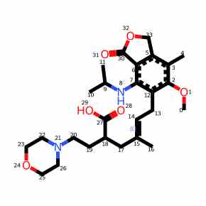 COc1c(C)c2c(c(NC(C)C)c1C/C=C(\C)CC(CCN1CCOCC1)C(=O)O)C(=O)OC2